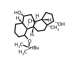 CC(C)(C)[Si](C)(C)OC1CCC[C@@H]2[C@@H](O)C[C@H]3[C@@H]4CC[C@H](O)[C@@]4(C)CC[C@@H]3[C@@]12C